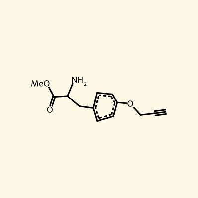 C#CCOc1ccc(CC(N)C(=O)OC)cc1